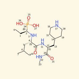 CC[C@H](N[C@@H](CC(C)C)C(=O)N[C@@H](CC1CCNCC1)C(=O)NC)P(=O)(O)O